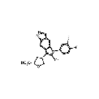 CC(C)c1c([C@H]2CO[C@H](C(=O)O)C2)c2cc3[nH]ncc3cc2n1-c1ccc(F)c(F)c1